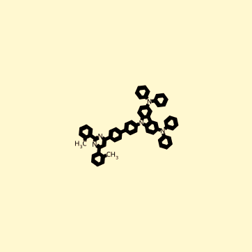 Cc1ccccc1-c1cc(-c2ccc(-c3ccc(-n4c5ccc(N(c6ccccc6)c6ccccc6)cc5c5cc(N(c6ccccc6)c6ccccc6)ccc54)cc3)cc2)nc(-c2ccccc2C)n1